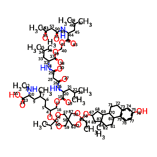 CCC1(OC(CCC(C)CC(NC)C(=O)O)COC(=O)C(CC(C)C)NC(=O)CC(=O)NC(CC(C)C)C(=O)OCOC(=O)C(CC(C)C)NC(=O)CC(C)=O)OCC2(CO1)COC(CC)(OC1CC3C4CCc5cc(O)ccc5C4CCC3(C)C1)OC2